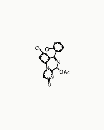 CC(=O)OC1N=C(c2ccccc2Cl)c2cc(Cl)ccc2-n2ccc(=O)nc21